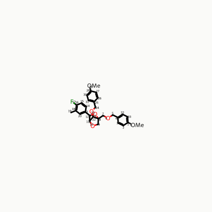 COc1ccc(COCC23COC(C(c4ccc(F)c(C)c4)O2)C3OCc2ccc(OC)cc2)cc1